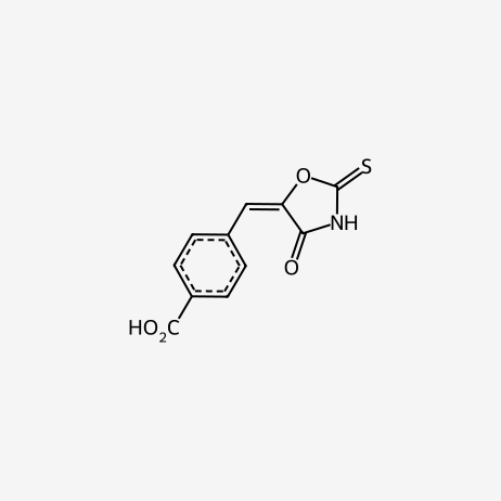 O=C1NC(=S)O/C1=C/c1ccc(C(=O)O)cc1